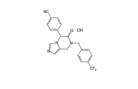 Cl.N#Cc1ccc(C2C(=O)N(Cc3ccc(C(F)(F)F)cc3)Cc3cncn32)cc1